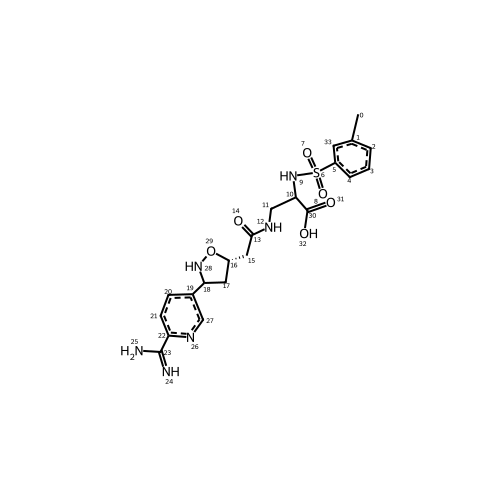 Cc1cccc(S(=O)(=O)NC(CNC(=O)C[C@@H]2CC(c3ccc(C(=N)N)nc3)NO2)C(=O)O)c1